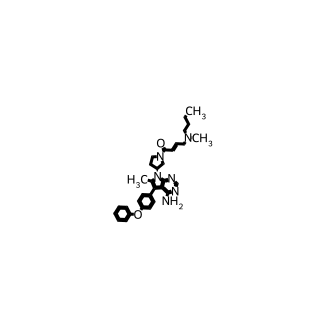 CCCCN(C)C/C=C/C(=O)N1CC[C@@H](n2c(C)c(-c3ccc(Oc4ccccc4)cc3)c3c(N)ncnc32)C1